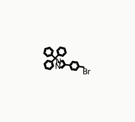 BrCc1ccc(-c2cnn(C(c3ccccc3)(c3ccccc3)c3ccccc3)c2)cc1